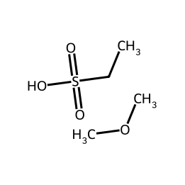 CCS(=O)(=O)O.COC